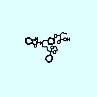 CCC(Oc1cccc(CN(CCCC2(c3ccccc3)OCCO2)c2nc3ccccc3o2)c1)C(=O)O